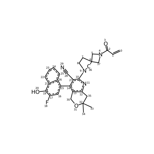 C=CC(=O)N1CC2(CCN(c3nc4c(c(-c5cc(F)c(O)c6ccccc56)c3C#N)COC(C)(C)C4)C2)C1